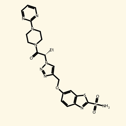 CC[C@@H](C(=O)N1CCN(c2ncccn2)CC1)n1cc(COc2ccc3nc(S(N)(=O)=O)sc3c2)nn1